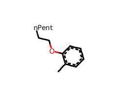 CCCCCCCOc1ccccc1C